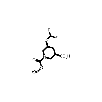 CC(C)(C)OC(=O)N1CC(OC(F)F)CC(C(=O)O)C1